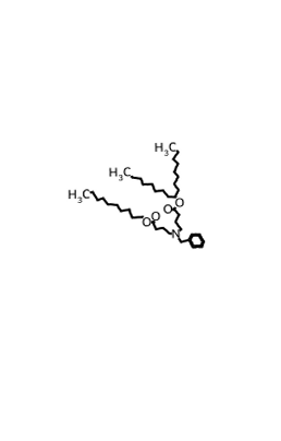 CCCCCCCCCCOC(=O)CCCN(CCCC(=O)OC(CCCCCCCC)CCCCCCCC)Cc1ccccc1